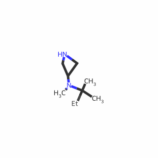 CCC(C)(C)N(C)C1CNC1